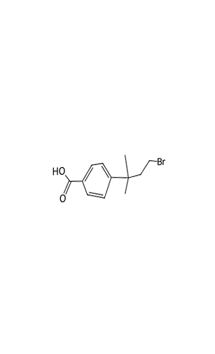 CC(C)(CCBr)c1ccc(C(=O)O)cc1